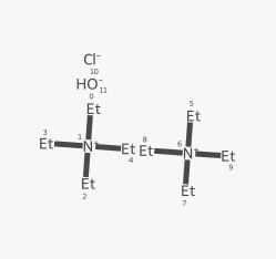 CC[N+](CC)(CC)CC.CC[N+](CC)(CC)CC.[Cl-].[OH-]